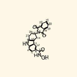 O=C(NO)c1ccc2[nH]c3c(c2c1)CC(N1C(=O)c2ccccc2C1=O)CC3